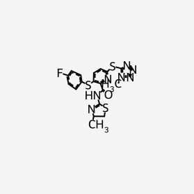 CC1CSC(NC(=O)c2nc(Sc3nnnn3C)ccc2Sc2ccc(F)cc2)=N1